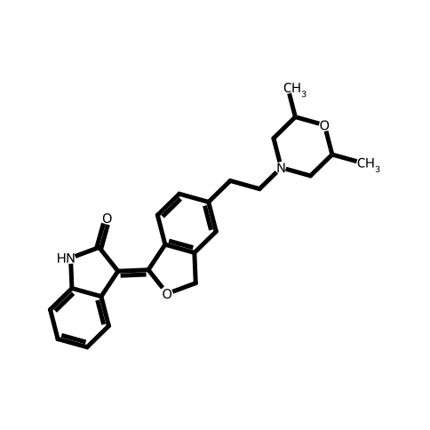 CC1CN(CCc2ccc3c(c2)COC3=C2C(=O)Nc3ccccc32)CC(C)O1